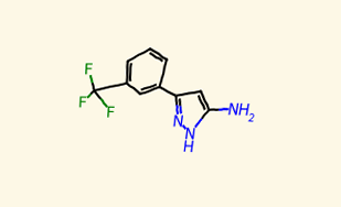 Nc1cc(-c2cccc(C(F)(F)F)c2)n[nH]1